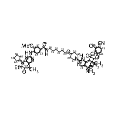 CC[C@@H]1C(=O)N(C)c2cnc(Nc3ccc(C(=O)NCCCCCCOC4CCN(c5ncc(C(N)=O)c(C6C(C)(C)C(Oc7ccc(C#N)c(Cl)c7)C6(C)C)n5)CC4)cc3OC)nc2N1C1CCCC1